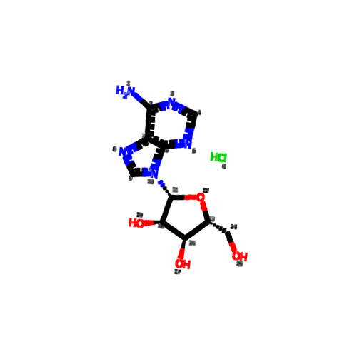 Cl.Nc1ncnc2c1ncn2[C@@H]1O[C@H](CO)[C@@H](O)[C@H]1O